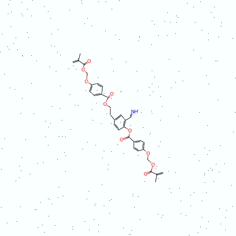 C=C(C)C(=O)OCOc1ccc(C(=O)OCCc2ccc(OC(=O)c3ccc(OCOC(=O)C(=C)C)cc3)c(C=N)c2)cc1